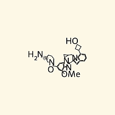 COc1cc(C(=O)N2CCC[C@@H](CN)C2)cc2nc(-c3cc4cccc(C5CC(O)C5)c4n3CC3CC3)n(C)c12